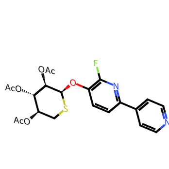 CC(=O)O[C@@H]1[C@@H](OC(C)=O)[C@@H](Oc2ccc(-c3ccncc3)nc2F)SC[C@H]1OC(C)=O